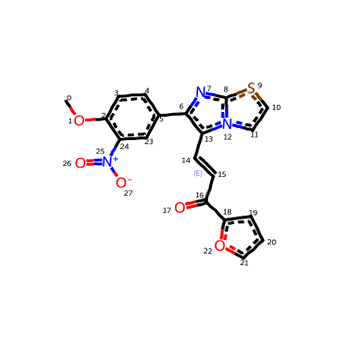 COc1ccc(-c2nc3sccn3c2/C=C/C(=O)c2ccco2)cc1[N+](=O)[O-]